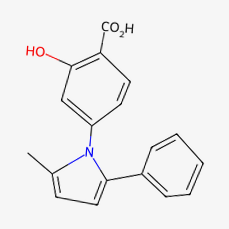 Cc1ccc(-c2ccccc2)n1-c1ccc(C(=O)O)c(O)c1